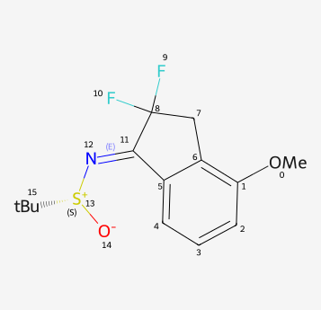 COc1cccc2c1CC(F)(F)/C2=N/[S@+]([O-])C(C)(C)C